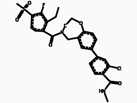 CCc1c(C(=O)N2CCOc3ccc(-c4ccc(C(=O)NC)c(Cl)c4)cc3C2)ccc(S(C)(=O)=O)c1F